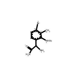 CC(=O)Nc1c(C(N)C(N)=O)ccc(Br)c1C